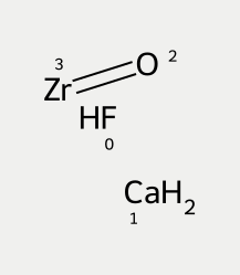 F.[CaH2].[O]=[Zr]